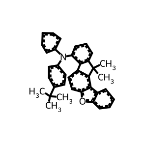 CC(C)(C)c1ccc(N(c2ccccc2)c2cccc3c2-c2ccc4oc5ccccc5c4c2C3(C)C)cc1